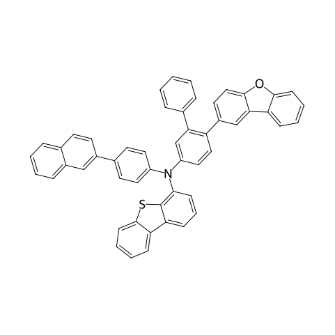 c1ccc(-c2cc(N(c3ccc(-c4ccc5ccccc5c4)cc3)c3cccc4c3sc3ccccc34)ccc2-c2ccc3oc4ccccc4c3c2)cc1